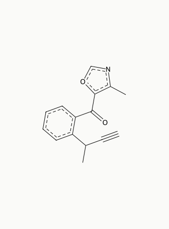 C#CC(C)c1ccccc1C(=O)c1ocnc1C